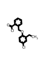 CCc1cc(Cl)ccc1OCc1ccccc1C(=O)Cl